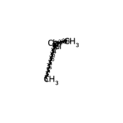 CCCCCCCCCCCCCCCCCC[Si](Cl)(Cl)CCCCCC